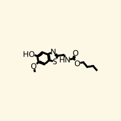 CCCCOC(=O)NCc1nc2cc(O)c(OC)cc2s1